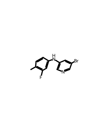 Cc1ccc(Nc2cncc(Br)c2)cc1F